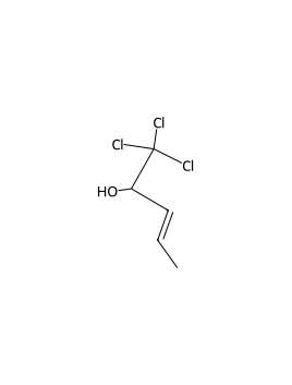 C/C=C/C(O)C(Cl)(Cl)Cl